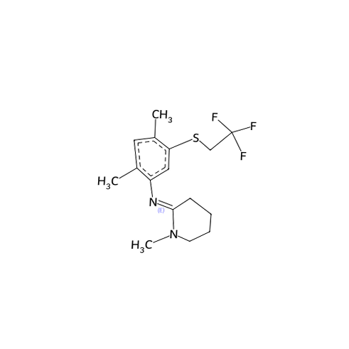 Cc1cc(C)c(SCC(F)(F)F)cc1/N=C1\CCCCN1C